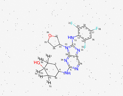 [2H]C1([2H])CC(Nc2ncc3nc(Nc4c(F)cc(F)cc4F)n(C4CCOC4)c3n2)CC([2H])([2H])C1([2H])O